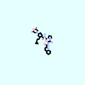 C[C@@H]1CN(c2ccc([C@H](C)NC(=O)[C@@H]3C[C@@H](F)CN3C(=O)CNC(=O)c3ccc4cc(F)ccc4n3)c(/C=C/C3CC3)c2)C[C@H](C)O1